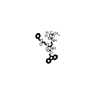 CC(C)(C)OC(=O)NCCC(NC(=O)OCC1c2ccccc2-c2ccccc21)C(=O)OCCC(=O)OCc1ccccc1